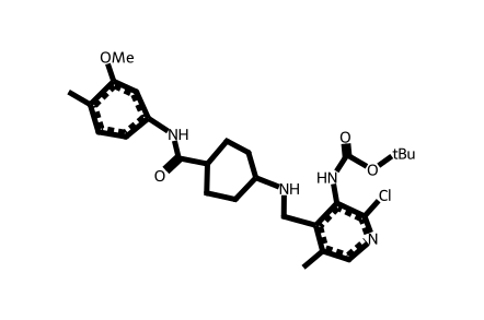 COc1cc(NC(=O)C2CCC(NCc3c(C)cnc(Cl)c3NC(=O)OC(C)(C)C)CC2)ccc1C